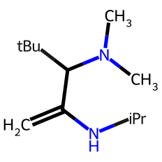 C=C(NC(C)C)C(N(C)C)C(C)(C)C